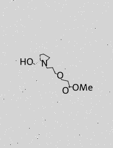 COC(=O)CCOCCCN1CCC[C@H]1CO